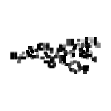 Cc1nn(C)cc1CNC(=O)c1cnc(SCC(=O)C(C)(C)C)n1Cc1ccc(F)cc1